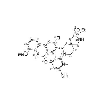 CCOC(=O)[C@@H]1CC2(CCN(c3cc(OC(c4ccc(Cl)cc4-c4cccc(OC)c4)C(F)(F)F)nc(N)n3)CC2)CN1